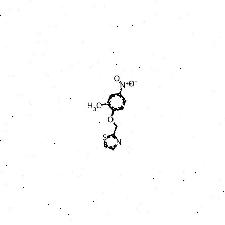 Cc1cc([N+](=O)[O-])ccc1OCc1nccs1